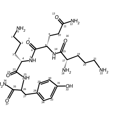 NCCC[C@H](NC(=O)[C@H](CCC(N)=O)NC(=O)[C@@H](N)CCCN)C(=O)NC(Cc1ccc(O)cc1)C(N)=O